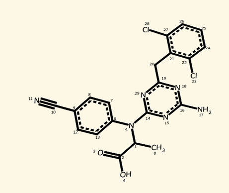 CC(C(=O)O)N(c1ccc(C#N)cc1)c1nc(N)nc(Cc2c(Cl)cccc2Cl)n1